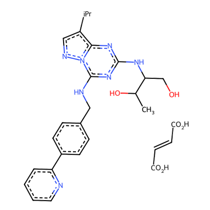 CC(C)c1cnn2c(NCc3ccc(-c4ccccn4)cc3)nc(NC(CO)C(C)O)nc12.O=C(O)/C=C/C(=O)O